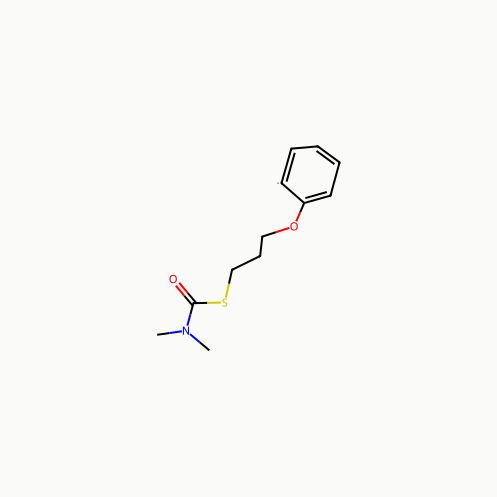 CN(C)C(=O)SCCCOc1[c]cccc1